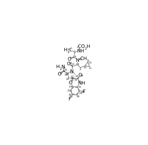 CC(NC(=O)O)C(=O)N(C)C(CC1CC1)C(=O)N1C[C@@]2(C[C@H]1C(N)=O)Oc1cc(F)cc(F)c1NC2=O